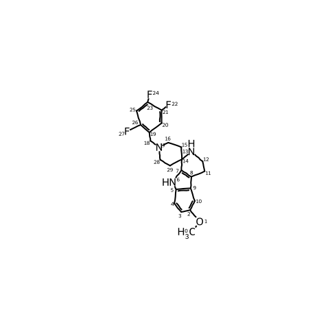 COc1ccc2[nH]c3c(c2c1)CCNC31CCN(Cc2cc(F)c(F)cc2F)CC1